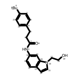 CC(C)(C)c1ccc(CCC(=O)Nc2ccc3ccn(CCO)c3c2)cc1